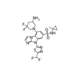 CC1(NS(=O)(=O)c2cc(N3CC(N)CC(F)(F)C3)c3c(c2)n(-c2nnc(C(F)F)s2)c2nccn32)CC1